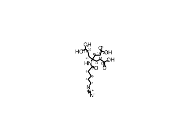 [N-]=[N+]=NCCCCC(=O)NC(CCC(=O)O)(CCC(=O)O)CCC(O)O